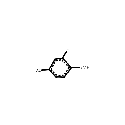 CSc1ccc(C(C)=O)cc1F